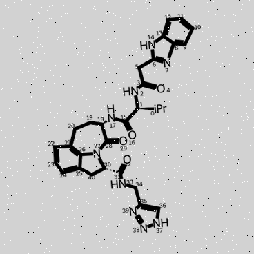 CC(C)[C@H](NC(=O)Cc1nc2ccccc2[nH]1)C(=O)N[C@H]1CCc2cccc3c2N(C1=O)[C@H](C(=O)NCc1c[nH]nn1)C3